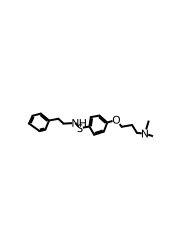 CN(C)CCCOc1ccc(SNCCc2ccccc2)cc1